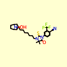 CC1(C)C(=O)N(c2ccc(C#N)c(C(F)(F)F)c2)C(=S)N1CCCCCCCCN1C2CCC1CC(O)C2